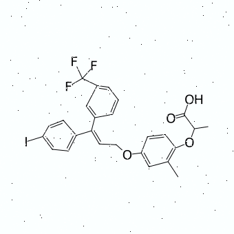 Cc1cc(OCC=C(c2ccc(I)cc2)c2cccc(C(F)(F)F)c2)ccc1OC(C)C(=O)O